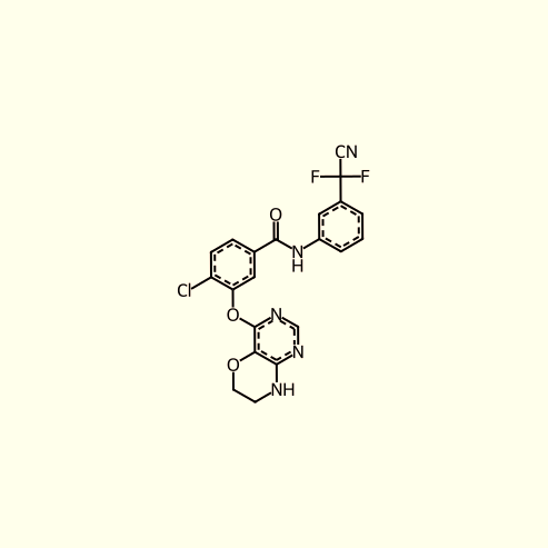 N#CC(F)(F)c1cccc(NC(=O)c2ccc(Cl)c(Oc3ncnc4c3OCCN4)c2)c1